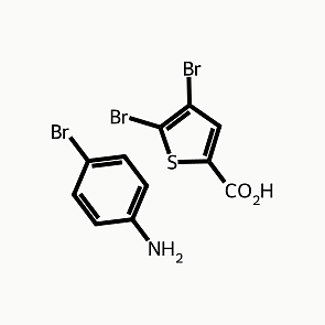 Nc1ccc(Br)cc1.O=C(O)c1cc(Br)c(Br)s1